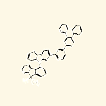 CC1(C)c2ccccc2-c2c(-n3c4ccccc4c4ccc(-c5cccc(-c6ccc7c8ccccc8c8ccccc8c7c6)c5)cc43)cccc21